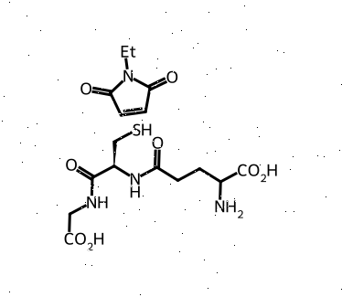 CCN1C(=O)C=CC1=O.NC(CCC(=O)N[C@H](CS)C(=O)NCC(=O)O)C(=O)O